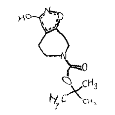 CC(C)(C)OC(=O)N1CCc2c(O)noc2C1